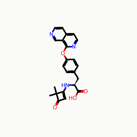 CC1(C)C(=O)C=C1N[C@@H](Cc1ccc(Oc2nccc3ccncc23)cc1)C(=O)O